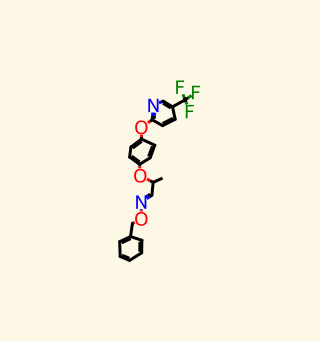 CC(C=NOCc1ccccc1)Oc1ccc(Oc2ccc(C(F)(F)F)cn2)cc1